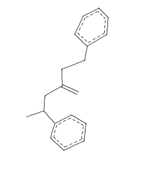 C=C(CCc1ccccc1)CC(C)c1ccccc1